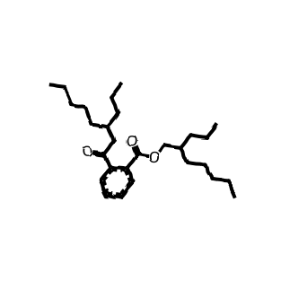 CCCCCC(CCC)COC(=O)c1ccccc1C(=O)CC(CCC)CCCCC